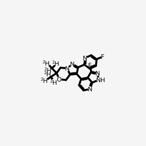 [2H]C([2H])([2H])C1(C([2H])([2H])[2H])Cn2nc(-c3ccc(F)cn3)c(-c3ccnc4[nH]nc(F)c34)c2CO1